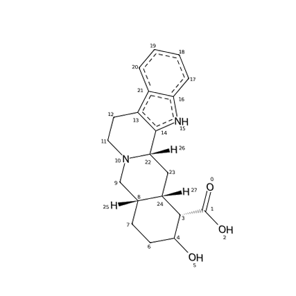 O=C(O)[C@@H]1C(O)CC[C@@H]2CN3CCc4c([nH]c5ccccc45)[C@@H]3C[C@@H]21